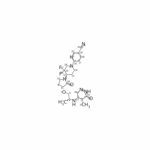 Cc1c(N[C@@H](C)CO[C@@H]2CCN([C@@H]3CCN(c4ccc(C#N)cn4)CC3(F)F)C2=O)cn[nH]c1=O